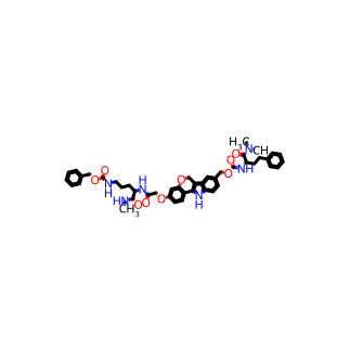 CNC(=O)C(CCCNC(=O)OCc1ccccc1)NC(=O)COc1ccc2c(c1)OCc1c-2[nH]c2ccc(COC(=O)NC(CCc3ccccc3)C(=O)N(C)C)cc12